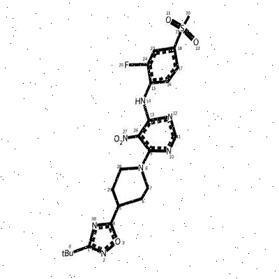 CC(C)(C)c1noc(C2CCN(c3ncnc(Nc4ccc(S(C)(=O)=O)cc4F)c3[N+](=O)[O-])CC2)n1